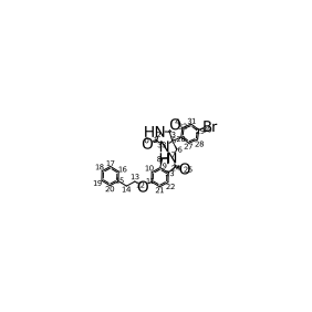 O=C1NC(=O)[C@](CN2Cc3cc(OCCc4ccccc4)ccc3C2=O)(c2ccc(Br)cc2)N1